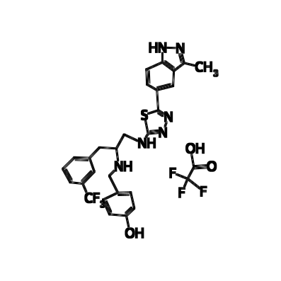 Cc1n[nH]c2ccc(-c3nnc(NCC(Cc4cccc(C(F)(F)F)c4)NCc4ccc(O)cc4)s3)cc12.O=C(O)C(F)(F)F